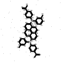 C=C(C)c1ccc(N(c2cccc(C)c2)c2ccc3ccc4c(N(c5ccc(C(=C)C)cc5)c5cccc(C)c5)ccc5ccc2c3c54)cc1